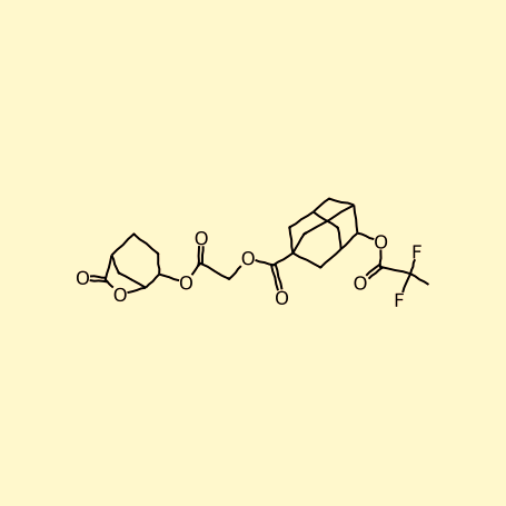 CC(F)(F)C(=O)OC1C2CC3CC1CC(C(=O)OCC(=O)OC1CCC4CC1OC4=O)(C3)C2